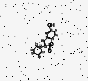 O=c1oc2ccc(O)cc2cc1-c1ccccc1